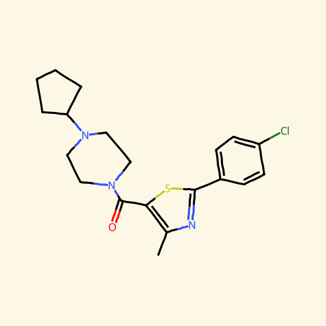 Cc1nc(-c2ccc(Cl)cc2)sc1C(=O)N1CCN(C2CCCC2)CC1